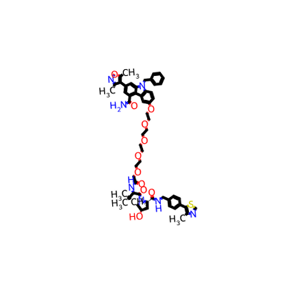 Cc1ncsc1-c1ccc(CNC(=O)[C@@H]2C[C@@H](O)CN2C(=O)C(NC(=O)COCCOCCOCCOCCOc2ccc3c(c2)c2c(C(N)=O)cc(-c4c(C)noc4C)cc2n3Cc2ccccc2)C(C)(C)C)cc1